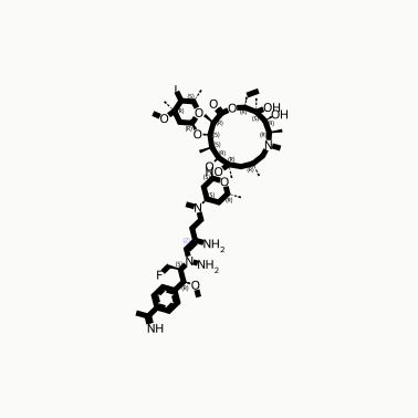 CC[C@H]1OC(=O)[C@H](C)[C@@H](O[C@H]2C[C@@](C)(OC)C(I)[C@H](C)O2)[C@H](C)[C@@H](O[C@H]2C[C@@H](N(C)CC/C(N)=C/N(N)[C@H](CF)[C@H](OC)c3ccc(C(C)=N)cc3)C[C@@H](C)O2)[C@](C)(O)C[C@@H](C)CN(C)[C@H](C)[C@@H](O)[C@]1(C)O